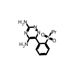 CC(C)S(=O)(=O)c1ccccc1-c1nnc(N)nc1N